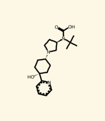 CC(C)(C)N(C(=O)O)[C@@H]1CCN([C@H]2CC[C@](O)(c3ccccn3)CC2)C1